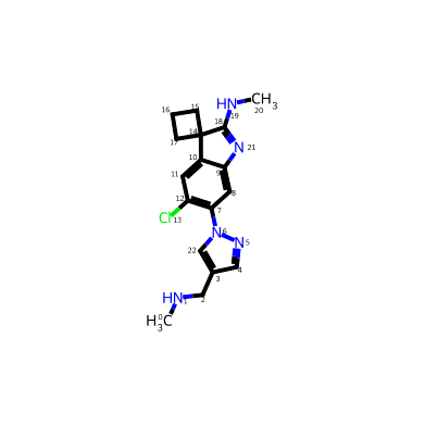 CNCc1cnn(-c2cc3c(cc2Cl)C2(CCC2)C(NC)=N3)c1